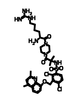 Cc1cc(C)c2cccc(OCc3c(Cl)ccc(S(=O)(=O)NC(C)(C)C(=O)N4CCN(C(=O)[C@@H](N)CCCCNC(=N)N)CC4)c3Cl)c2n1